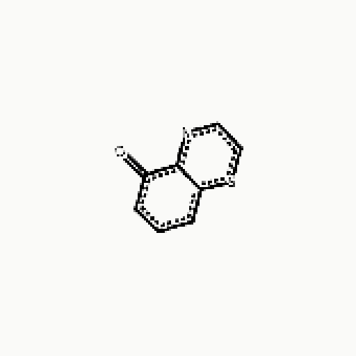 O=c1cccc2sccnc1-2